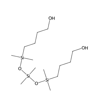 C[Si](C)(CCCCO)O[Si](C)(C)O[Si](C)(C)CCCCO